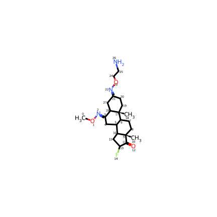 CON=C1CC2C(CC[C@]3(C)C(=O)C(F)CC23)[C@@]2(C)CCC(=NOCCN)CC12